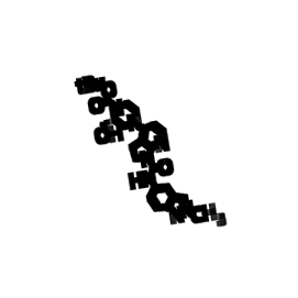 Cn1cc2cc(NC(=O)N3CCc4c(N5CCN(C(=O)OC(C)(C)C)[C@@H](CO)C5)ccnc43)ccc2n1